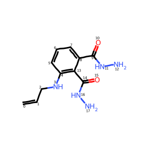 C=CCNc1cccc(C(=O)NN)c1C(=O)NN